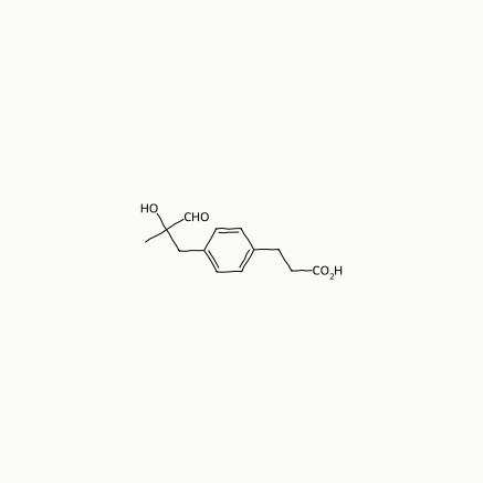 CC(O)(C=O)Cc1ccc(CCC(=O)O)cc1